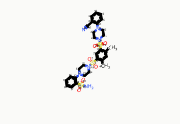 Cc1cc(C)c(S(=O)(=O)N2CCN(c3ccccc3S(N)(=O)=O)CC2)cc1S(=O)(=O)N1CCN(c2ccccc2C#N)CC1